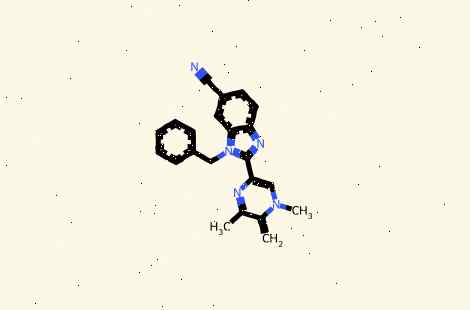 C=C1C(C)=NC(c2nc3ccc(C#N)cc3n2Cc2ccccc2)=CN1C